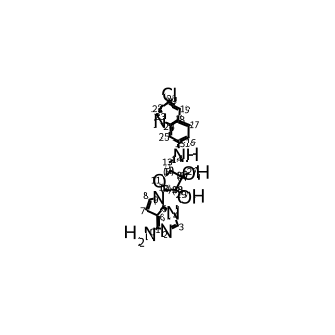 Nc1ncnc2c1ccn2[C@@H]1O[C@H](CNc2ccc3cc(Cl)cnc3c2)[C@@H](O)[C@H]1O